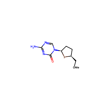 COC[C@@H]1CC[C@H](n2cnc(N)nc2=O)S1